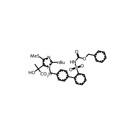 CCCCc1nc(SC)c(C(C)(O)C(=O)O)n1Cc1ccc(-c2ccccc2S(=O)(=O)NC(=O)OCc2ccccc2)cc1